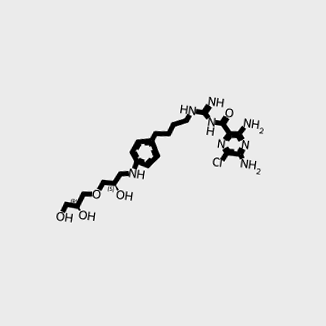 N=C(NCCCCc1ccc(NC[C@H](O)COC[C@H](O)CO)cc1)NC(=O)c1nc(Cl)c(N)nc1N